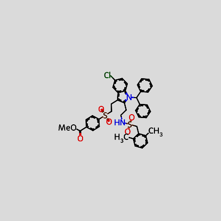 COC(=O)c1ccc(S(=O)(=O)CCc2c(CCNS(=O)(=O)Cc3c(C)cccc3C)n(C(c3ccccc3)c3ccccc3)c3ccc(Cl)cc23)cc1